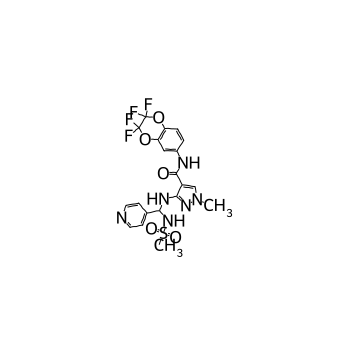 Cn1cc(C(=O)Nc2ccc3c(c2)OC(F)(F)C(F)(F)O3)c(NC(NS(C)(=O)=O)c2ccncc2)n1